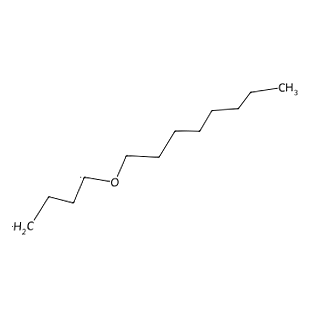 [CH2]CC[CH]OCCCCCCCC